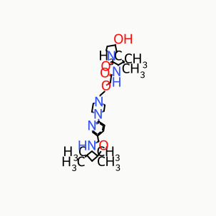 CC1(C)CC(C)(C)C1NC(=O)c1ccc(N2CCN(CCOCC(=O)N[C@H](C(=O)N3CC[C@@H](O)C3)C(C)(C)C)CC2)nc1